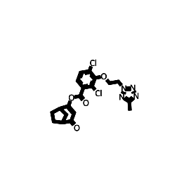 Cc1nnn(CCOc2c(Cl)ccc(C(=O)OC3=CC(=O)C4CCC3C4)c2Cl)n1